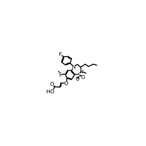 CCCCC1CN(c2ccc(F)cc2)c2cc(SC)c(O/C=C/C(=O)O)cc2S(=O)(=O)N1C